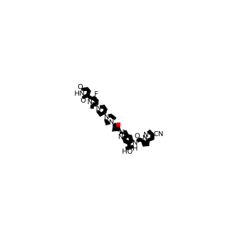 Cc1nc(C2CCC(=O)NC2=O)c(F)cc1N1CCC(N2CCN(C34CC(n5cc6cc(NC(=O)c7ccc8cc(C#N)cnn78)c(C(C)(C)O)cc6n5)(C3)C4)CC2)CC1